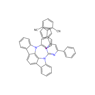 N#Cc1cccc(C#N)c1-c1cccc(-n2c3ccccc3c3ccc4c5ccccc5n(-c5nc(-c6ccccc6)cc(-c6ccccc6)n5)c4c32)c1